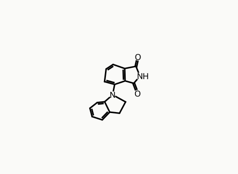 O=C1NC(=O)c2c1cccc2N1CCc2ccccc21